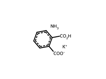 N.O=C([O-])c1ccccc1C(=O)O.[K+]